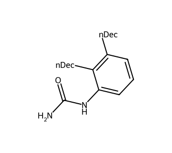 CCCCCCCCCCc1cccc(NC(N)=O)c1CCCCCCCCCC